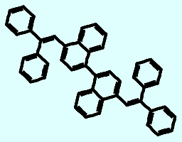 C(=C(c1ccccc1)c1ccccc1)c1ccc(-c2ccc(C=C(c3ccccc3)c3ccccc3)c3ccccc23)c2ccccc12